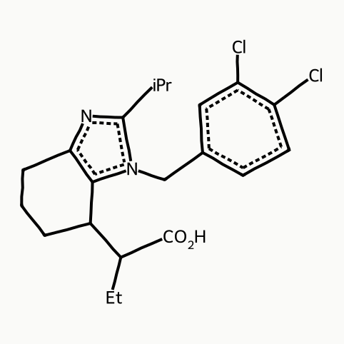 CCC(C(=O)O)C1CCCc2nc(C(C)C)n(Cc3ccc(Cl)c(Cl)c3)c21